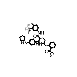 COC(=O)c1ccccc1CC1CCC(C(=O)Nc2ccc(C)c(C(F)(F)F)c2)C(c2ccc(NC3CCCC3)cc2)N1